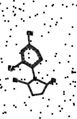 CCC1CCC(CC)N1c1ccc(C#N)cc1C(F)(F)F